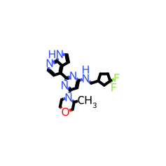 CC1COCCN1c1cc(NCC2CCC(F)(F)C2)nc(-c2ccnc3[nH]ccc23)n1